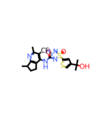 Cc1nc2c(c(NC(=O)N=S(N)(=O)c3cc(C(C)(C)O)cs3)c1C(F)(F)F)CCC2C